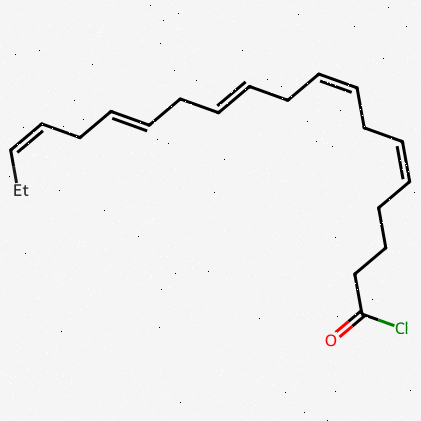 CC/C=C\CC=CCC=CC/C=C\C/C=C\CCCC(=O)Cl